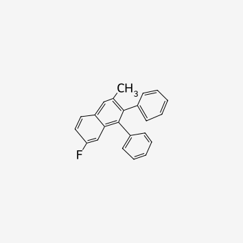 Cc1cc2ccc(F)cc2c(-c2ccccc2)c1-c1ccccc1